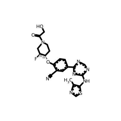 Cc1ncsc1Nc1ncnc(-c2ccc(O[C@H]3CCN(C(=O)CO)C[C@@H]3F)c(C#N)c2)n1